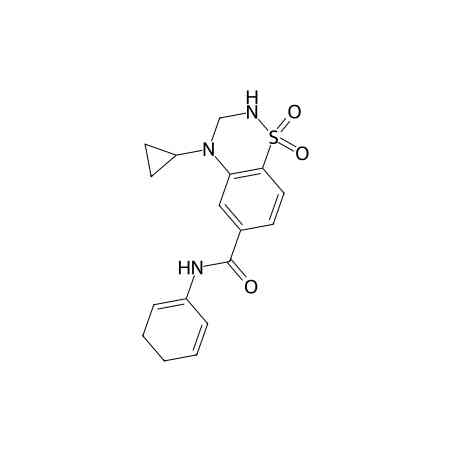 O=C(NC1=CCCC=C1)c1ccc2c(c1)N(C1CC1)CNS2(=O)=O